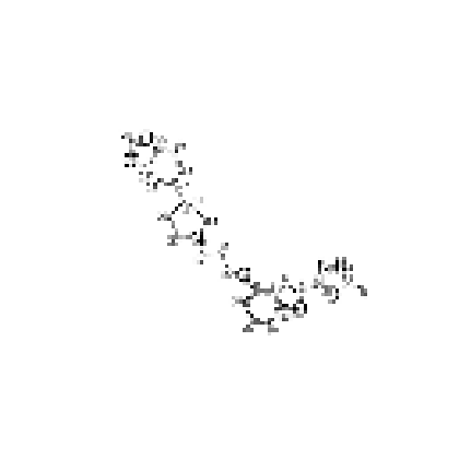 Cc1nnc(-c2cc3c(OCCCN4CCC(c5ccc6c(c5)OCO6)CC4)cccc3o2)o1